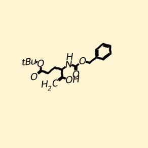 C=C(O)C(CCC(=O)OC(C)(C)C)NC(=O)OCc1ccccc1